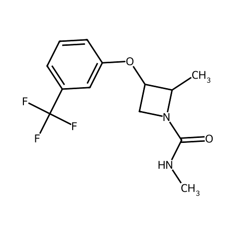 CNC(=O)N1CC(Oc2cccc(C(F)(F)F)c2)C1C